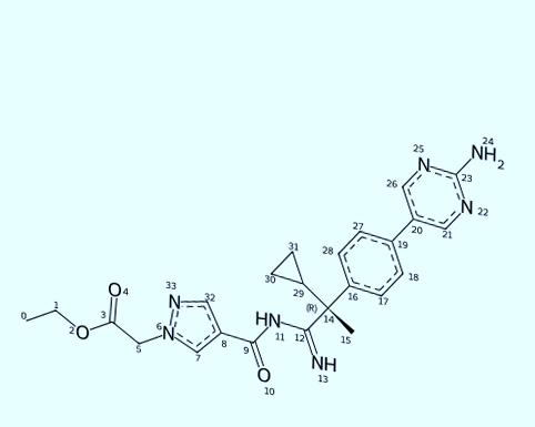 CCOC(=O)Cn1cc(C(=O)NC(=N)[C@@](C)(c2ccc(-c3cnc(N)nc3)cc2)C2CC2)cn1